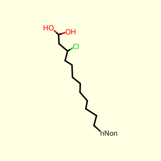 CCCCCCCCCCCCCCCCCCC(Cl)CC(O)O